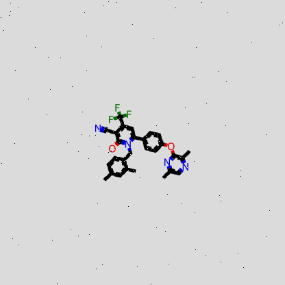 Cc1ccc(Cn2c(-c3ccc(Oc4nc(C)cnc4C)cc3)cc(C(F)(F)F)c(C#N)c2=O)c(C)c1